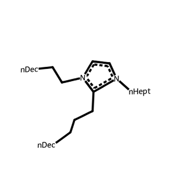 CCCCCCCCCCCCCc1n(CCCCCCC)cc[n+]1CCCCCCCCCCCC